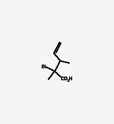 C=CC(C)C(C)(CC)C(=O)O